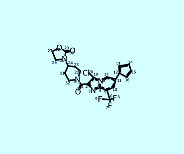 O=C(c1nc2c(C(F)(F)F)cc(C3=C=CC=C3)cn2c1Cl)N1CCC(N2CCOC2=O)CC1